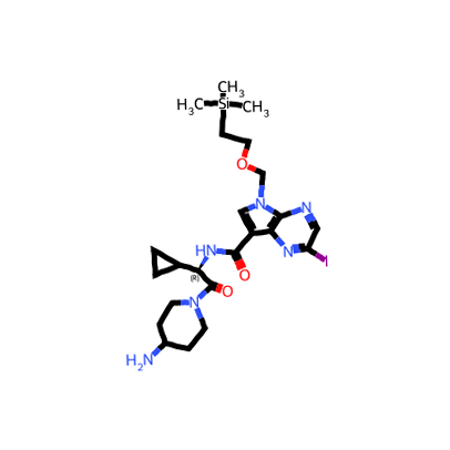 C[Si](C)(C)CCOCn1cc(C(=O)N[C@@H](C(=O)N2CCC(N)CC2)C2CC2)c2nc(I)cnc21